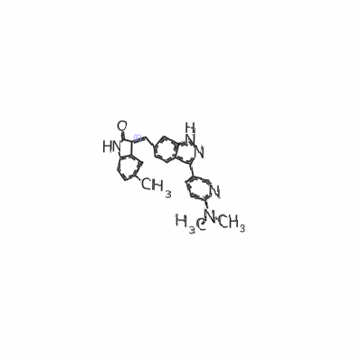 Cc1ccc2c(c1)/C(=C\c1ccc3c(-c4ccc(N(C)C)nc4)n[nH]c3c1)C(=O)N2